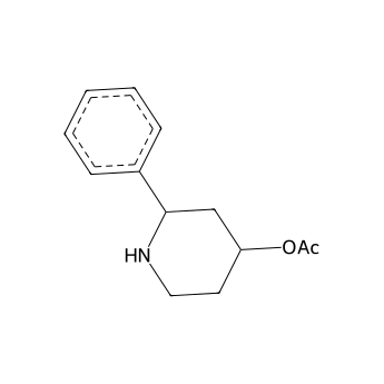 CC(=O)OC1CCNC(c2ccccc2)C1